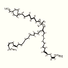 CCCCC/C=C\C/C=C\CCCCCCCCOC(CCCCCCC/C=C\C/C=C\CCCCC)O[Si](C)(C)OCCCCCCN1CCC(CO)CC1